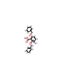 COC(=O)c1c(OCc2ccccc2)ccc(I)c1OCc1ccccc1